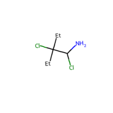 CCC(Cl)(CC)C(N)Cl